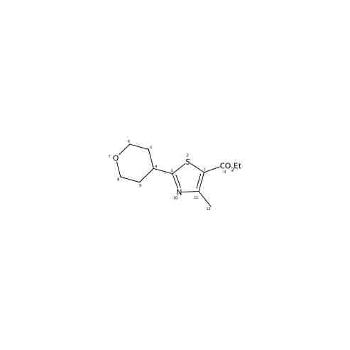 CCOC(=O)c1sc(C2CCOCC2)nc1C